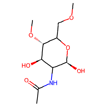 COCC1O[C@@H](O)C(NC(C)=O)[C@@H](O)[C@@H]1OC